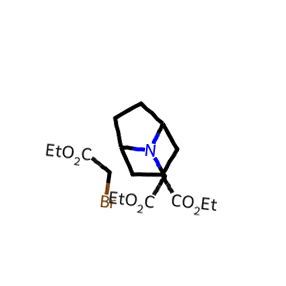 CCOC(=O)CBr.CCOC(=O)CN1C2CCC1CC(C(=O)OCC)C2